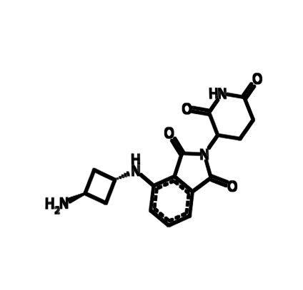 N[C@H]1C[C@H](Nc2cccc3c2C(=O)N(C2CCC(=O)NC2=O)C3=O)C1